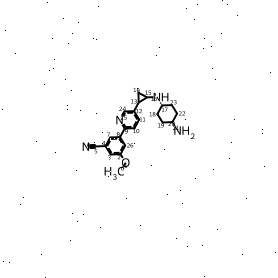 COc1cc(C#N)cc(-c2ccc(C3CC3N[C@H]3CC[C@H](N)CC3)cn2)c1